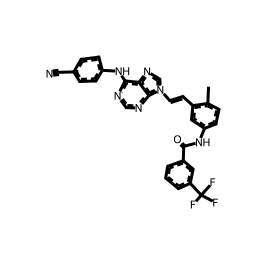 Cc1ccc(NC(=O)c2cccc(C(F)(F)F)c2)cc1C=Cn1cnc2c(Nc3ccc(C#N)cc3)ncnc21